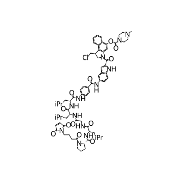 CC(C)CC(NC(=O)[C@@H]1CCCN1C(=O)CCCN1C(=O)C=CC1=O)C(=O)NCC(=O)N[C@@H](CC(C)C)C(=O)N[C@@H](CC(C)C)C(=O)Nc1ccc(C(=O)Nc2ccc3[nH]c(C(=O)N4C[C@@H](CCl)c5c4cc(OC(=O)N4CCN(C)CC4)c4ccccc54)cc3c2)cc1